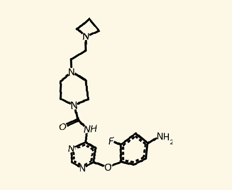 Nc1ccc(Oc2cc(NC(=O)N3CCN(CCN4CCC4)CC3)ncn2)c(F)c1